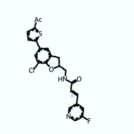 CC(=O)c1ccc(-c2cc(Cl)c3c(c2)CC(CNC(=O)/C=C/c2cncc(F)c2)O3)s1